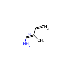 C=C/C(C)=C/N